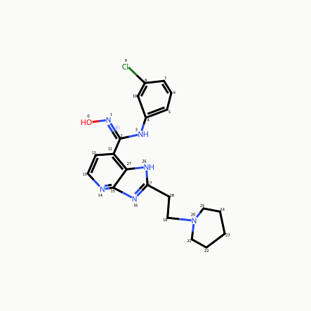 O/N=C(/Nc1cccc(Cl)c1)c1ccnc2nc(CCN3CCCCC3)[nH]c12